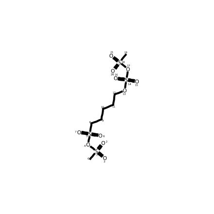 CS(=O)(=O)OS(=O)(=O)CCCCCOS(=O)(=O)OS(C)(=O)=O